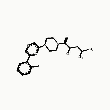 CC(C)CC(O)C(=O)N1CCN(c2cncc(-c3ccccc3F)n2)CC1